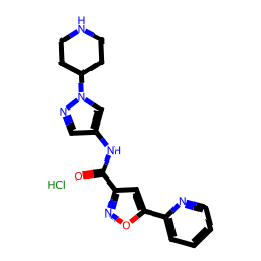 Cl.O=C(Nc1cnn(C2CCNCC2)c1)c1cc(-c2ccccn2)on1